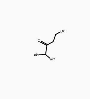 CCCC(CCC)C(=O)CCO